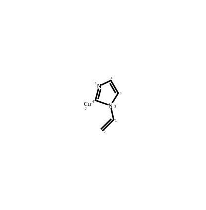 C=Cn1ccnc1.[Cu]